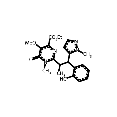 CCOC(=O)c1nc(C(C)C(c2ccccc2C#N)c2ccnn2C)n(C)c(=O)c1OC